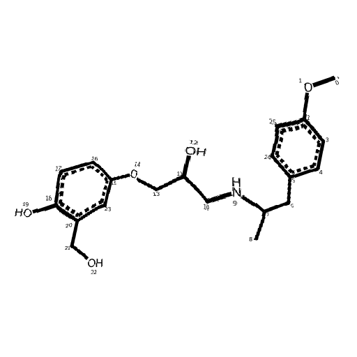 [CH2]Oc1ccc(CC(C)NCC(O)COc2ccc(O)c(CO)c2)cc1